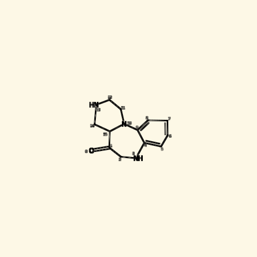 O=C1CNc2ccccc2N2CCNCC12